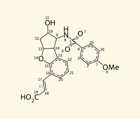 COc1ccc(S(=O)(=O)NC2C(O)CC3Oc4c(/C=C/C(=O)O)cccc4C32)cc1